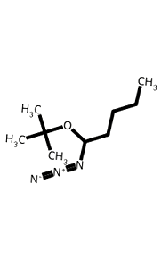 CCCCC(N=[N+]=[N-])OC(C)(C)C